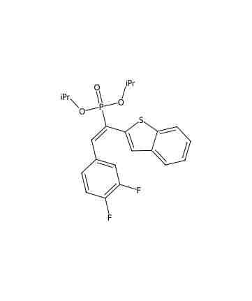 CC(C)OP(=O)(OC(C)C)/C(=C/c1ccc(F)c(F)c1)c1cc2ccccc2s1